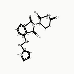 O=C1CC[C@@H](N2C(=O)c3cccc(NCc4ccco4)c3C2=O)C(=O)N1